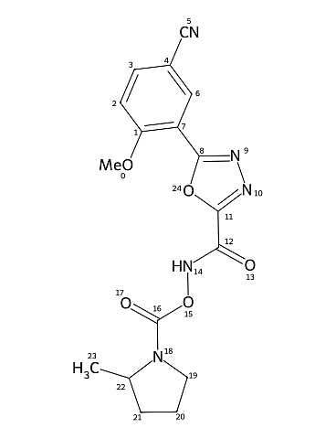 COc1ccc(C#N)cc1-c1nnc(C(=O)NOC(=O)N2CCCC2C)o1